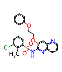 Cc1c(Cl)cccc1S(=O)(=O)Nc1nc2cccnc2cc1OCCOc1ccccc1